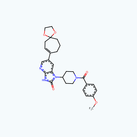 O=C(c1ccc(OC(F)(F)F)cc1)N1CCC(n2c(=O)[nH]c3ncc(C4=CCC5(CCC4)OCCO5)cc32)CC1